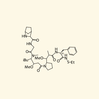 CCSNC(=O)[C@H](Cc1ccccc1)NC(=O)C(C)C(OC)C1CCCN1C(=O)CC(OC)C(C(C)CC)N(C)C(=O)CNC(=O)C1NC2CCC1C2